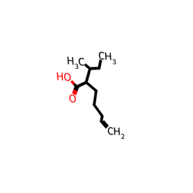 C=CCCCC(C(=O)O)C(C)CC